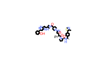 Cc1ncsc1-c1ccc([C@H](C)NC(=O)[C@H]2CCCN2C(=O)C(c2cc(N3CCC(C(=O)N4CC(c5cc6nnc(-c7ccccc7O)cc6[nH]5)C4)CC3)no2)C(C)C)cc1